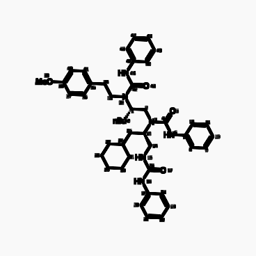 CCCC[C@@H](CN(C(=O)Nc1ccccc1)[C@@H](CNC(=O)Nc1ccccc1)CC1CCCCC1)N(CCc1ccc(OC)cc1)C(=O)Nc1ccccc1